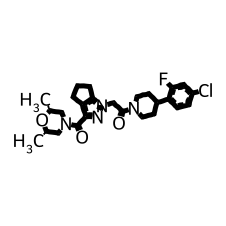 C[C@@H]1CN(C(=O)c2nn(CC(=O)N3CCC(c4ccc(Cl)cc4F)CC3)c3c2CCC3)C[C@H](C)O1